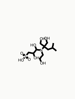 CC(C)CC(CO)(CO)N(CCO)C(O)C(O)CS(=O)(=O)O